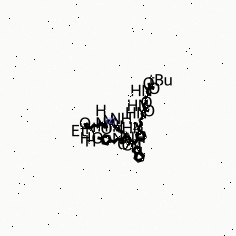 CCC(=O)NCCNC(=O)/N=C(/N)NCCC[C@@H](NC(=O)[C@H](c1cccc(NCCCNC(=O)NOCCNC(=O)OC(C)(C)C)c1)N1Cc2ccccc2C1)C(=O)NCc1ccc(O)cc1